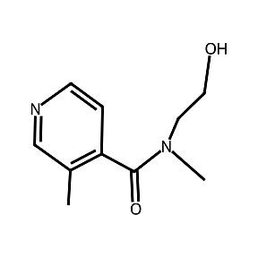 Cc1cnccc1C(=O)N(C)CCO